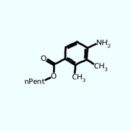 CCCCCOC(=O)c1ccc(N)c(C)c1C